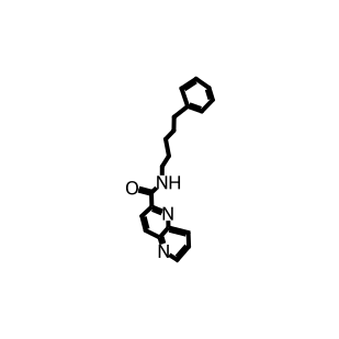 O=C(NCCCCCc1ccccc1)c1ccc2ncccc2n1